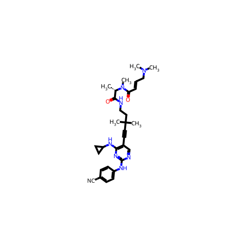 C[C@@H](C(=O)NCCC(C)(C)C#Cc1cnc(Nc2ccc(C#N)cc2)nc1NC1CC1)N(C)C(=O)/C=C/CN(C)C